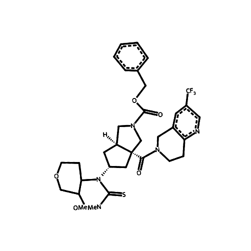 CNC(=S)N(C1CCOCC1OC)[C@@H]1C[C@H]2CN(C(=O)OCc3ccccc3)C[C@@]2(C(=O)N2CCc3ncc(C(F)(F)F)cc3C2)C1